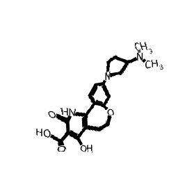 CN(C)C1CCN(c2ccc3c(c2)OCCc2c-3[nH]c(=O)c(C(=O)O)c2O)C1